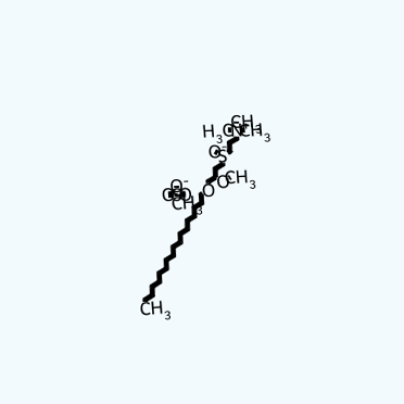 CCCCCCCCCCCCCCCCCCOCC(CC[S+]([O-])CCC[N+](C)(C)C)OC.CS(=O)(=O)[O-]